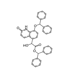 O=C(OC(c1ccccc1)c1ccccc1)C(O)c1ccc(OC(c2ccccc2)c2ccccc2)c2[nH]c(=O)ccc12